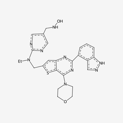 CCN(Cc1cc2nc(-c3cccc4[nH]ncc34)nc(N3CCOCC3)c2s1)c1ncc(CNO)cn1